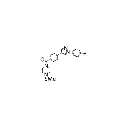 CSN1CCN(C(=O)c2ccc(-c3cnn(-c4ccc(F)cc4)c3)cc2)CC1